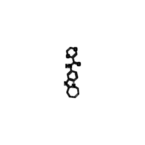 O=C(Nc1ccc2c(c1)nc1n2CCCCC1)C1=COCCO1